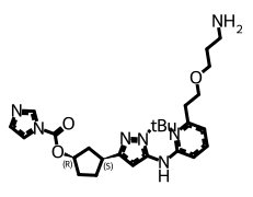 CC(C)(C)n1nc([C@H]2CC[C@@H](OC(=O)n3ccnc3)C2)cc1Nc1cccc(CCOCCCN)n1